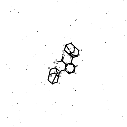 O=C(O)c1c(C2=C3CC4CC(C3)CC2C4)cccc1C1C2CC3CC(C2)CC1C3